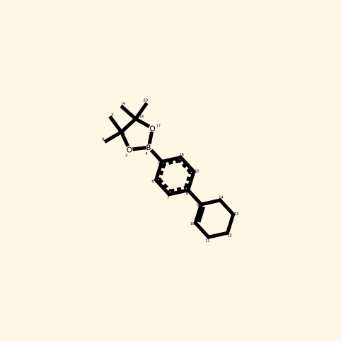 CC1(C)OB(c2ccc(C3=CCCCC3)cc2)OC1(C)C